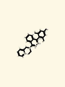 CCN(Cc1ccccn1)c1nnc(-c2c(C)cc(C)cc2C)c2ccccc12